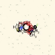 CC[C@H]1OC(=O)[C@H](C)[C@@H](OC(=O)Cc2ccc(F)cc2)[C@H](C)[C@@H](OC2OC(C)CC(N(C)C)C2O)[C@](C)(OC)C[C@@H](C)/C(=N\N=C(/C)c2cccs2)[C@H](C)[C@@H](O)[C@]1(C)O